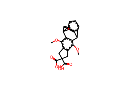 COc1c2c(c(OC)c3c1C1c4cccc(c4)C34c3cccc1c34)CC(C(=O)O)(C(=O)O)C2